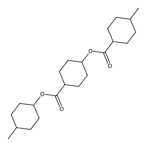 CC1CCC(OC(=O)C2CCC(OC(=O)C3CCC(C)CC3)CC2)CC1